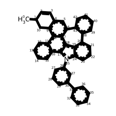 CC1C=Cc2cc3c4c(c2C1)c1ccccc1c1c4c2c(cccc2n1-c1cccc(-c2ccccc2)c1)-c1ccccc1-3